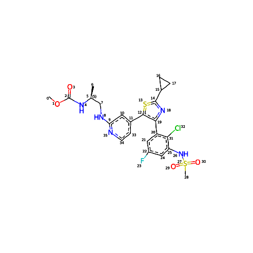 COC(=O)N[C@@H](C)CNc1cc(-c2sc(C3CC3)nc2-c2cc(F)cc(NS(C)(=O)=O)c2Cl)ccn1